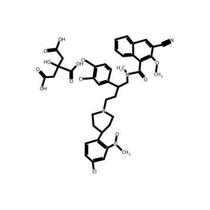 COc1c(C#N)cc2ccccc2c1C(=O)N(C)CC(CCN1CCC(c2ccc(Cl)cc2[S+](C)[O-])CC1)c1ccc(Cl)c(Cl)c1.O=C(O)CC(O)(CC(=O)O)C(=O)O